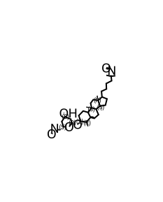 C[C@@H]1C2=CCC3[C@@](C)(CC[C@]4(C)C(CCCCC(C)(C)N=O)CC[C@@]34C)C2CC[C@@H]1O[C@H]1C[C@@H](O)C[C@@H](CN=O)O1